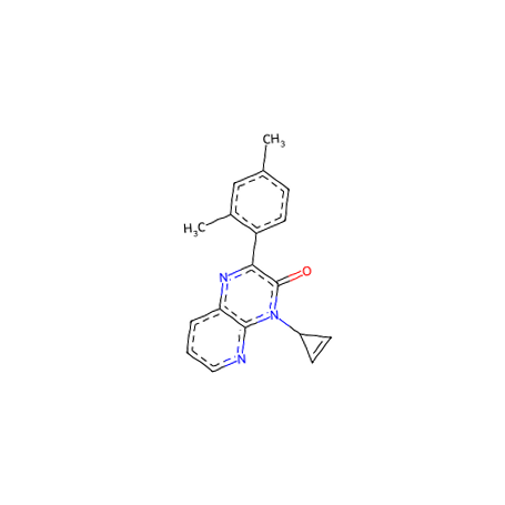 Cc1ccc(-c2nc3cccnc3n(C3C=C3)c2=O)c(C)c1